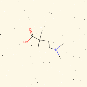 CN(C)CCC(C)(C)C(=O)O